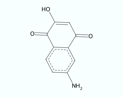 Nc1ccc2c(c1)C(=O)C=C(O)C2=O